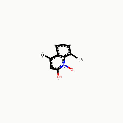 Cc1cc(O)[n+]([O-])c2c(C)cccc12